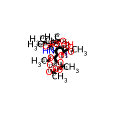 COC(=O)[C@]1(I)OC([C@H](OC(C)=O)[C@@H](COC(C)=O)OC(C)=O)[C@H](NC(=O)OC(C)(C)C)C(OC(C)=O)C1O